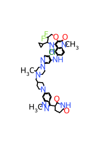 CC1CN(c2cc(Nc3ccc4c(c3)c3c(c(=O)n4C)OCC(F)(F)C(C4CC4)N3)c(Cl)cn2)CCN1CC1CCN(c2ccc3c(C4CCC(=O)NC4=O)nn(C)c3c2)CC1